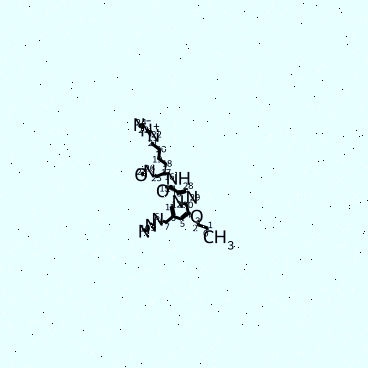 CCCOc1cc(CN=[N+]=[N-])cn2c(C(=O)N[C@H](CCCCN=[N+]=[N-])CN=O)cnc12